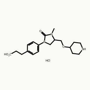 CN1C(=O)N(c2ccc(CCC(=O)O)cc2)CC1COC1CCNCC1.Cl